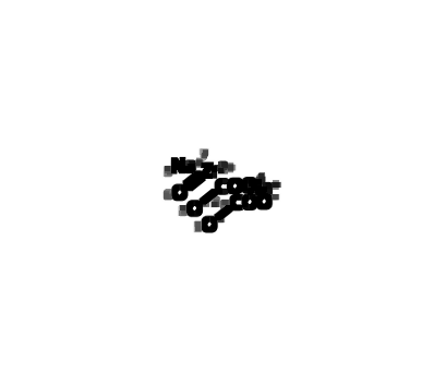 O=C([O-])[O-].O=C([O-])[O-].[Na+].[Na+].[O]=[Zr+2]